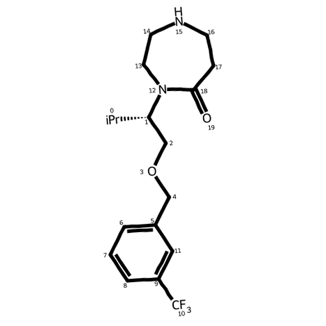 CC(C)[C@@H](COCc1cccc(C(F)(F)F)c1)N1CCNCCC1=O